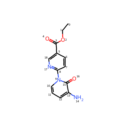 CCOC(=O)c1ccc(-n2cccc(N)c2=O)nc1